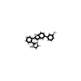 Fc1cccc(-c2ccc3oc(-c4ccccc4C4=NCCN4)cc3c2)c1